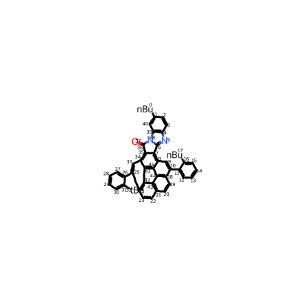 CCCCc1ccc2nc3c4c5cc(-c6ccccc6CCCC)c6ccc7ccc8c(-c9ccccc9C(C)(C)C)cc(c4c(=O)n3c2c1)c1c8c7c6c51